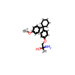 CC(C)C(N)(O)COc1ccc(C2(c3ccc(OC(C)(C)C)cc3)CCCCC2)cc1